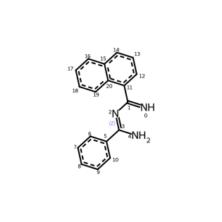 N=C(/N=C(\N)c1ccccc1)c1cccc2ccccc12